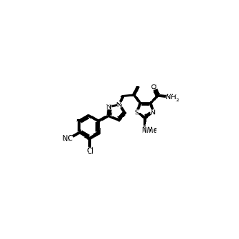 CNc1nc(C(N)=O)c(C(C)Cn2ccc(-c3ccc(C#N)c(Cl)c3)n2)s1